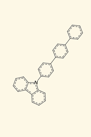 c1ccc(-c2ccc(-c3ccc(-n4c5ccccc5c5ccccc54)cc3)cc2)cc1